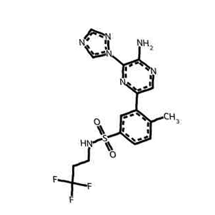 Cc1ccc(S(=O)(=O)NCCC(F)(F)F)cc1-c1cnc(N)c(-n2cncn2)n1